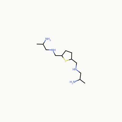 CC(N)CNCC1CCC(CNCC(C)N)S1